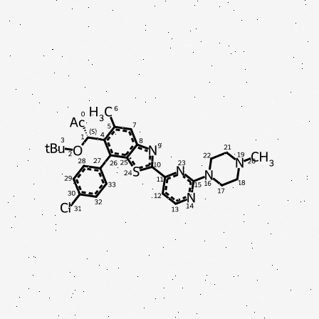 CC(=O)[C@@H](OC(C)(C)C)c1c(C)cc2nc(-c3ccnc(N4CCN(C)CC4)n3)sc2c1-c1ccc(Cl)cc1